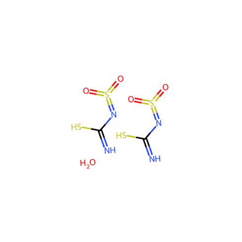 N=C(S)N=S(=O)=O.N=C(S)N=S(=O)=O.O